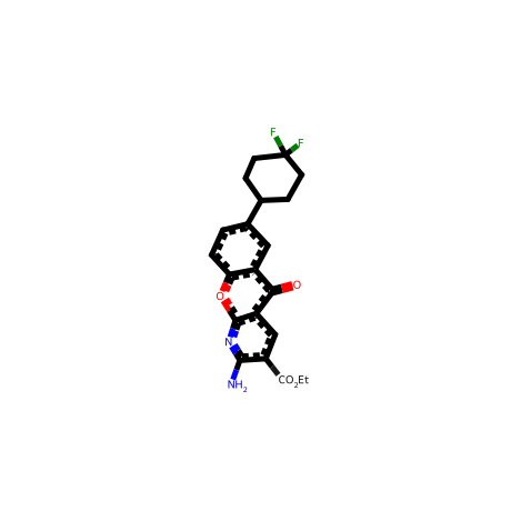 CCOC(=O)c1cc2c(=O)c3cc(C4CCC(F)(F)CC4)ccc3oc2nc1N